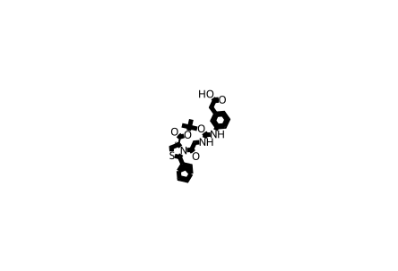 CC(C)(C)OC(=O)[C@@H]1CSC(C2CC3C=CC2C3)N1C(=O)CNC(=O)Nc1cccc(CC(=O)O)c1